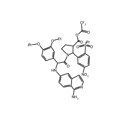 CCOc1cc(C(Nc2ccc3c(N)nccc3c2)C(=O)N2CCC(C(=O)OC(=O)C(F)(F)F)C2c2cc([N+](=O)[O-])ccc2S(=O)(=O)C(C)C)ccc1OC(C)C